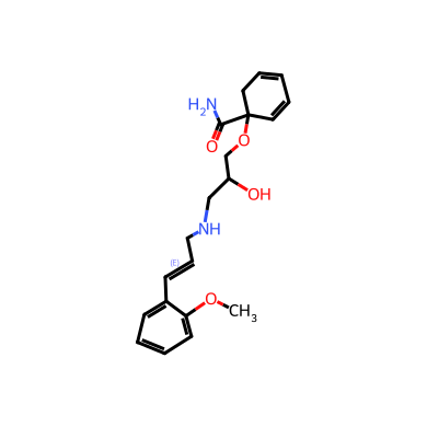 COc1ccccc1/C=C/CNCC(O)COC1(C(N)=O)C=CC=CC1